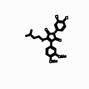 COc1ccc(C2=C(SCCN(C)C)C(=O)N(c3ccc(Cl)c(Cl)c3)C2=O)cc1OC